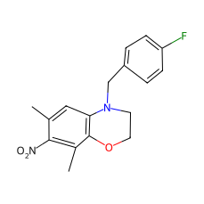 Cc1cc2c(c(C)c1[N+](=O)[O-])OCCN2Cc1ccc(F)cc1